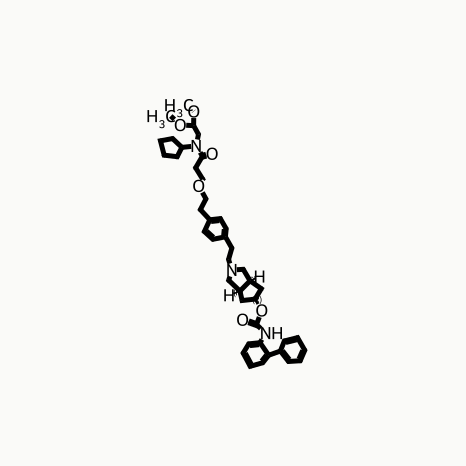 COC(CN(C(=O)CCOCCc1ccc(CCN2C[C@H]3C[C@@H](OC(=O)Nc4ccccc4-c4ccccc4)C[C@H]3C2)cc1)C1CCCC1)OC